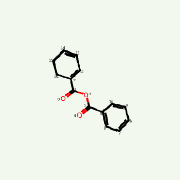 O=C(OC(=O)c1ccccc1)C1=CC=CCC1